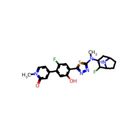 CN(c1nnc(-c2cc(F)c(-c3ccn(C)c(=O)c3)cc2O)s1)C1CC2CCC(N2)C1F